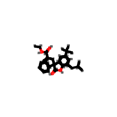 C=C(CC1(c2ccccc2)C(=O)Oc2c(CC(C)C)cc(C(C)(C)C)cc21)C(=O)OCC